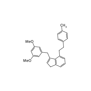 COc1cc(CC2=CCc3cccc(CCc4ccc(C)cc4)c32)cc(OC)c1